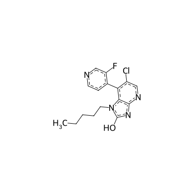 CCCCCn1c(O)nc2ncc(Cl)c(-c3ccncc3F)c21